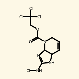 O=C(OCC(Cl)(Cl)Cl)N1CC=CC2NC(NCl)=NC21